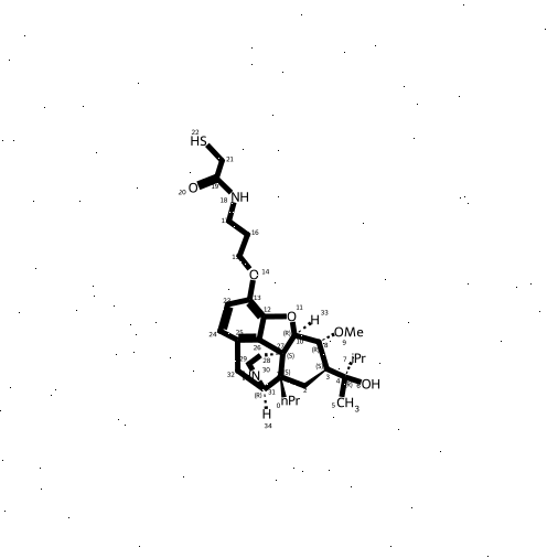 CCC[C@]12C[C@H]([C@](C)(O)C(C)C)[C@@H](OC)[C@@H]3Oc4c(OCCCNC(=O)CS)ccc5c4[C@@]31CCN[C@@H]2C5